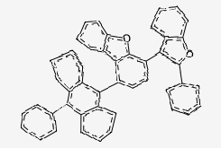 c1ccc(-c2oc3ccccc3c2-c2ccc(-c3c4ccccc4c(-c4ccccc4)c4ccccc34)c3c2oc2ccccc23)cc1